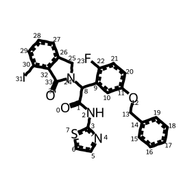 O=C(Nc1nccs1)C(c1cc(OCc2ccccc2)ccc1F)N1Cc2cccc(I)c2C1=O